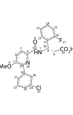 COc1ccc(C(=O)N[C@@H](CC(=O)O)c2ccccc2F)nc1-c1cccc(Cl)c1